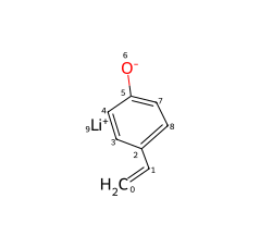 C=Cc1ccc([O-])cc1.[Li+]